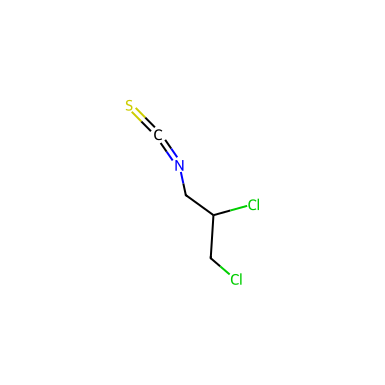 S=C=NCC(Cl)CCl